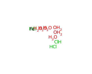 Cl.Cl.Cl.O.O.O.O.O.O.[Fe]